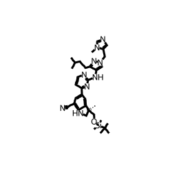 CC(C)CCc1nn(Cc2cncn2C)cc1Nc1nccc(-c2cc(C#N)c3c(c2)[C@@](C)(CO[Si](C)(C)C(C)(C)C)CN3)n1